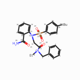 CCN(Cc1ccccc1)C(=O)CN(c1ccccc1C(N)=O)S(=O)(=O)c1ccc(C(C)(C)C)cc1